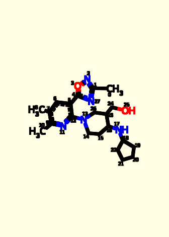 Cc1noc(-c2cc(C)c(C)nc2N2CCC(NC3CCCC3)C(CO)C2)n1